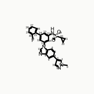 Cn1cc(-c2ccc3c(c2)ncn3-c2cc(NS(=O)(=O)C3CC3)cc(-c3ccccc3F)c2)cn1